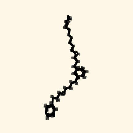 [N-]=[N+]=NCCCCCCOCCCc1ccc[n+](CCCCOCCCc2cccnc2)c1